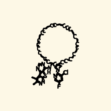 Cc1nnc2sc3c(NC4CCCCCCCCCCCCCCCCCCCCCCCCCCCCC5(C4)CN(c4ncc(F)cc4Cl)C5)ncnc3c2c1C